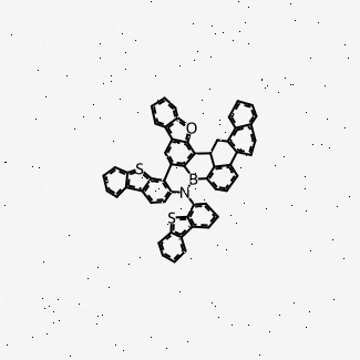 c1cc2c3c(c1)-c1ccc4ccccc4c1CC3c1c3c(cc4c1oc1ccccc14)-c1c(ccc4c1sc1ccccc14)N(c1cccc4c1sc1ccccc14)B23